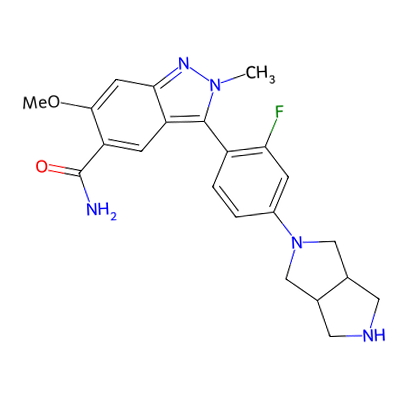 COc1cc2nn(C)c(-c3ccc(N4CC5CNCC5C4)cc3F)c2cc1C(N)=O